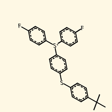 CC(C)(C)c1ccc(Sc2ccc([S+](c3ccc(F)cc3)c3ccc(F)cc3)cc2)cc1